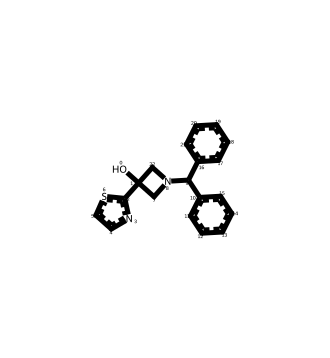 OC1(c2nccs2)CN(C(c2ccccc2)c2ccccc2)C1